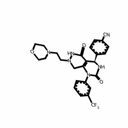 N#Cc1ccc([C@H]2NC(=O)N(c3cccc(C(F)(F)F)c3)C3=C2C(=O)NN(CCN2CCOCC2)C3)cc1